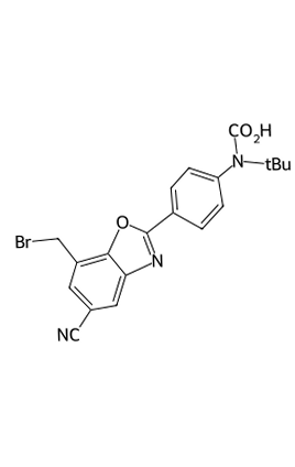 CC(C)(C)N(C(=O)O)c1ccc(-c2nc3cc(C#N)cc(CBr)c3o2)cc1